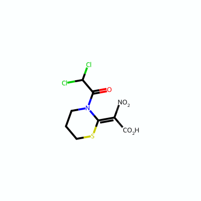 O=C(O)/C(=C1\SCCCN1C(=O)C(Cl)Cl)[N+](=O)[O-]